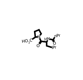 CCCC(=O)NC(CC(C)C)C(=O)N1CCCC1C(=O)O